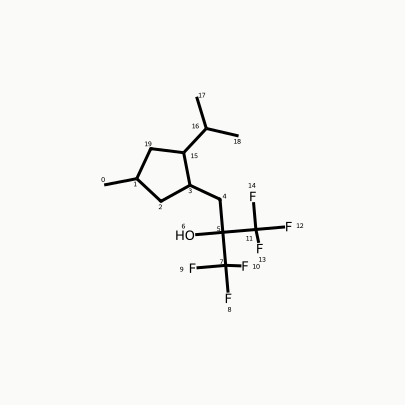 CC1CC(CC(O)(C(F)(F)F)C(F)(F)F)C(C(C)C)C1